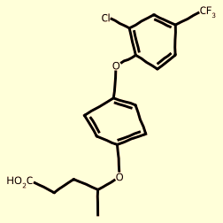 CC(CCC(=O)O)Oc1ccc(Oc2ccc(C(F)(F)F)cc2Cl)cc1